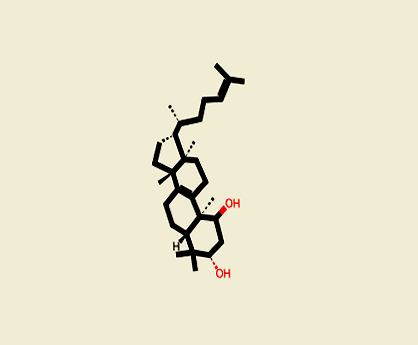 CC(C)=CCC[C@@H](C)[C@H]1CC[C@@]2(C)C3=C(CC[C@]12C)[C@@]1(C)C(O)C[C@H](O)C(C)(C)[C@@H]1CC3